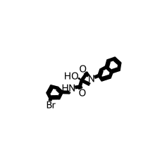 O=C(NCc1cccc(Br)c1)[C@@]1(O)CN(c2ccc3ccccc3c2)C1=O